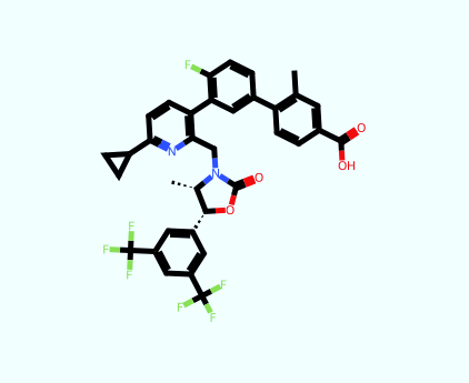 Cc1cc(C(=O)O)ccc1-c1ccc(F)c(-c2ccc(C3CC3)nc2CN2C(=O)O[C@H](c3cc(C(F)(F)F)cc(C(F)(F)F)c3)[C@@H]2C)c1